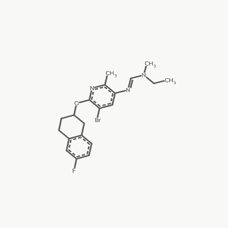 CCN(C)/C=N/c1cc(Br)c(OC2CCc3cc(F)ccc3C2)nc1C